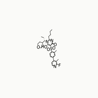 CCCCc1nc(=O)c(S(=O)(=O)c2ccc(-c3ccnc(F)c3C)cc2C)c(O)n1[C@@H](CC)C1CCOCC1